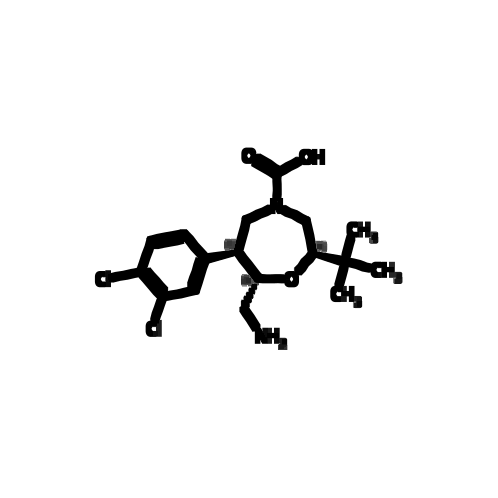 CC(C)(C)[C@@H]1CN(C(=O)O)C[C@H](c2ccc(Cl)c(Cl)c2)[C@@H](CN)O1